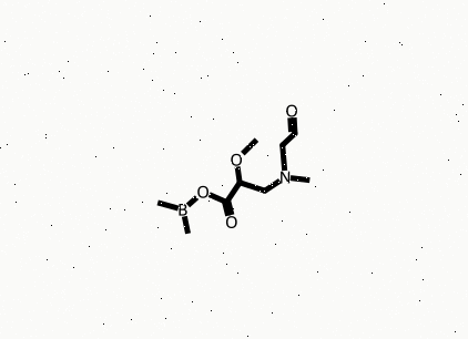 COC(CN(C)CC=O)C(=O)OB(C)C